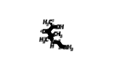 C[C@H](O)C(=O)C(C)(C)NCCN